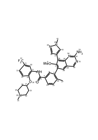 COc1c(-c2cc(C(=O)Nc3cc(C(F)(F)F)ccc3OC3CCN(C)CC3)ccc2C)cc2cnc(N)nc2c1-c1cnn(C)c1